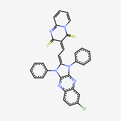 S=C1N=C2C=CC=CN2C(=S)C1=CC=C1N(c2ccccc2)c2nc3ccc(Cl)cc3nc2N1c1ccccc1